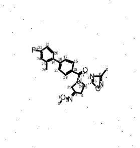 CON=C1C[C@@H](c2nc(C)no2)N(C(=O)c2ccc(-c3ccc(F)cc3C)cc2)C1